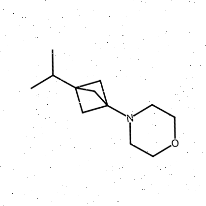 CC(C)C12CC(N3CCOCC3)(C1)C2